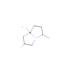 CC1CCC2(C(C)C)CC(F)CN12